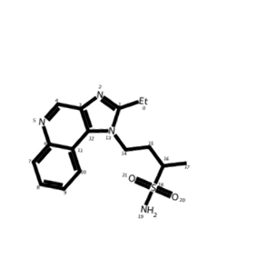 CCc1nc2cnc3ccccc3c2n1CCC(C)S(N)(=O)=O